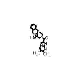 Cc1cn2cc(C(=O)N3CC[C@]4(Cc5ccccc5CN4)[C@H](O)C3)nc2nc1C